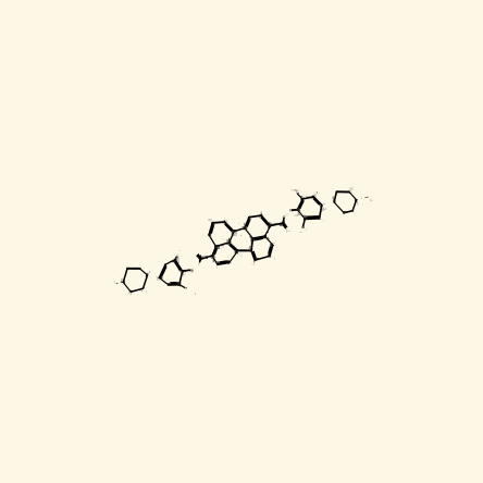 C[C@H]1CC[C@H](c2cc(F)c(OC(=O)c3ccc4c5cccc6c(C(=O)Oc7c(F)cc([C@H]8CC[C@H](C)CC8)cc7F)ccc(c7cccc3c74)c65)c(F)c2)CC1